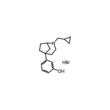 Br.Oc1cccc(C23CCC(C2)N(CC2CC2)CC3)c1